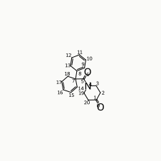 O=C1CCN(C(=O)C2(c3ccccc3)C=CC=CC2)CC1